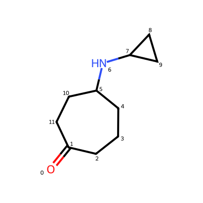 O=C1CCCC(NC2CC2)CC1